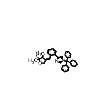 CC1(C)OCC(=Cc2ccccc2-c2cn(C(c3ccccc3)(c3ccccc3)c3ccccc3)cn2)C1=O